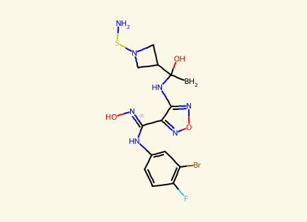 BC(O)(Nc1nonc1/C(=N/O)Nc1ccc(F)c(Br)c1)C1CN(SN)C1